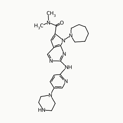 CN(C)C(=O)c1cc2cnc(Nc3ccc(N4CCNCC4)cn3)nc2n1N1CCCCCC1